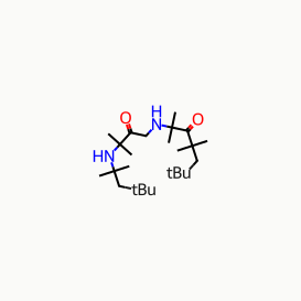 CC(C)(C)CC(C)(C)NC(C)(C)C(=O)CNC(C)(C)C(=O)C(C)(C)CC(C)(C)C